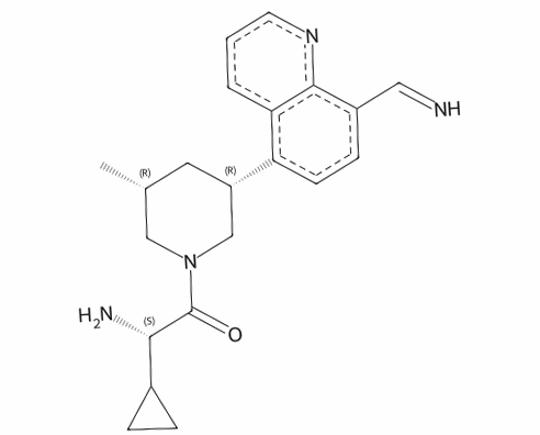 C[C@@H]1C[C@H](c2ccc(C=N)c3ncccc23)CN(C(=O)[C@@H](N)C2CC2)C1